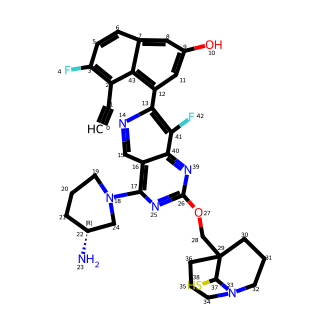 C#Cc1c(F)ccc2cc(O)cc(-c3ncc4c(N5CCC[C@@H](N)C5)nc(OCC56CCCN(CCC5)C6S)nc4c3F)c12